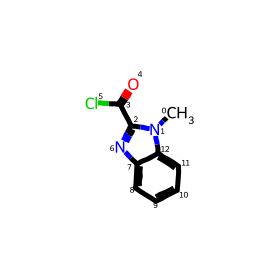 Cn1c(C(=O)Cl)nc2ccccc21